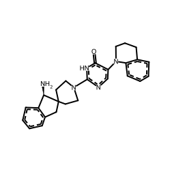 N[C@@H]1c2ccccc2CC12CCN(c1ncc(N3CCCc4ccccc43)c(=O)[nH]1)CC2